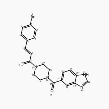 O=C(C=Cc1ccc(Br)cc1)N1CCN(C(=O)c2ccc3[nH]cnc3c2)CC1